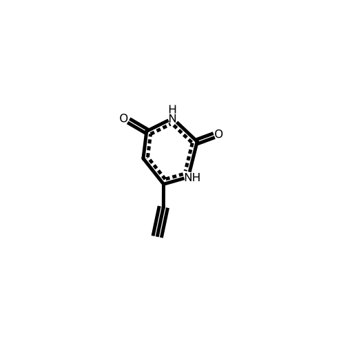 C#Cc1cc(=O)[nH]c(=O)[nH]1